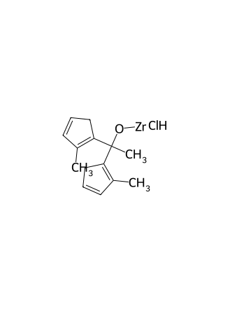 CC1=C(C(C)([O][Zr])C2=C(C)C=CC2)CC=C1.Cl